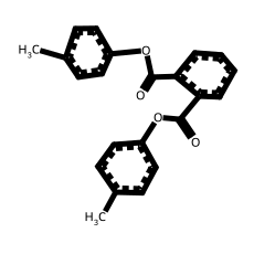 Cc1ccc(OC(=O)c2ccccc2C(=O)Oc2ccc(C)cc2)cc1